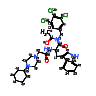 CC(=O)N(Cc1cc(Cl)c(Cl)c(Cl)c1)C(=O)C(Cc1c[nH]c2ccccc12)NC(=O)CN1CCN(C2CCCCC2)CC1